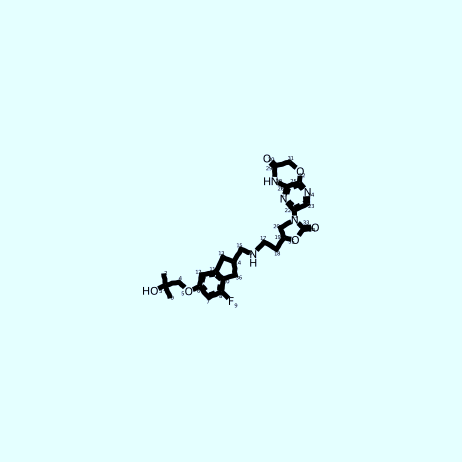 CC(C)(O)COc1cc(F)c2c(c1)CC(CNCCC1CN(c3cnc4c(n3)NC(=O)CO4)C(=O)O1)C2